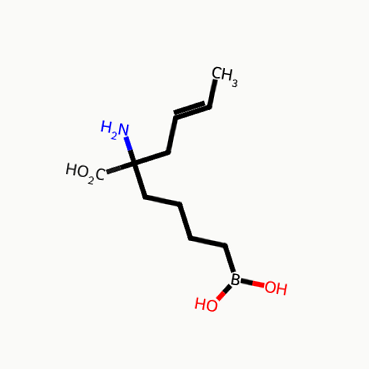 CC=CCC(N)(CCCCB(O)O)C(=O)O